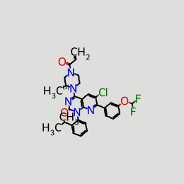 C=CC(=O)N1CCN(c2nc(=O)n(-c3ccccc3C(C)C)c3nc(-c4cccc(OC(F)F)c4)c(Cl)cc23)[C@@H](C)C1